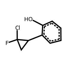 Oc1ccccc1C1CC1(F)Cl